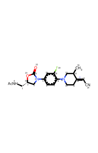 CC(=O)NC[C@H]1CN(c2ccc(N3CC/C(=C\C#N)C(C)C3)c(F)c2)C(=O)O1